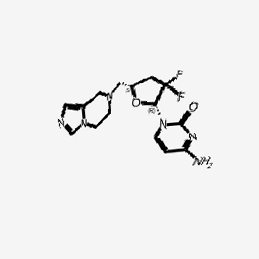 Nc1ccn([C@@H]2O[C@H](CN3CCn4cncc4C3)CC2(F)F)c(=O)n1